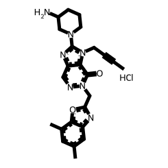 CC#CCn1c(N2CCCC(N)C2)nc2cnn(Cc3nc4cc(C)cc(C)c4o3)c(=O)c21.Cl